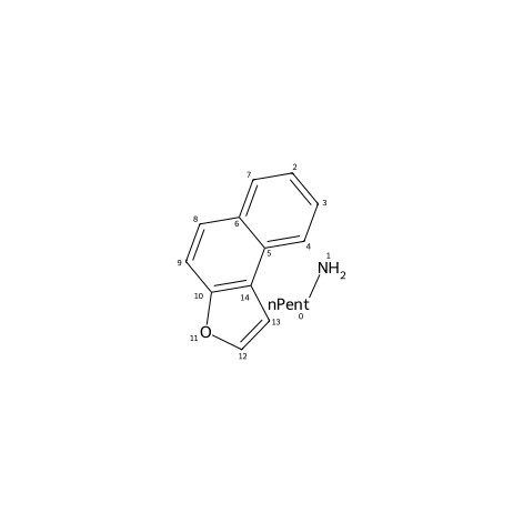 CCCCCN.c1ccc2c(c1)ccc1occc12